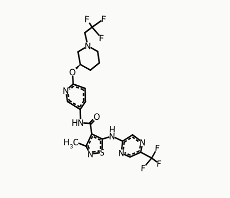 Cc1nsc(Nc2cnc(C(F)(F)F)cn2)c1C(=O)Nc1ccc(O[C@@H]2CCCN(CC(F)(F)F)C2)nc1